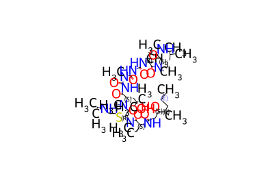 C/C=C/C[C@@H](C)[C@@H](O)CC(=O)N[C@@H](CC)C(=O)N(C)[C@H](SCCNC(C)C)C(=O)N(C)[C@@H](CC(C)(C)O)C(=O)NC(=O)N(C)C(=O)NC(=O)N[C@@H](C)C(=O)N(C)[C@@H](CC(C)C)C(=O)NC